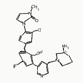 Cn1ccn(-c2ccc(-c3cc(F)cc(-c4cncc(N5CCC[C@H](N)C5)c4)c3O)cc2Cl)c1=O